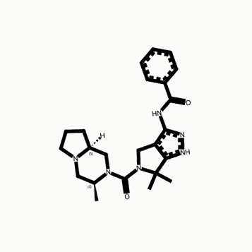 C[C@H]1CN2CCC[C@H]2CN1C(=O)N1Cc2c(NC(=O)c3ccccc3)n[nH]c2C1(C)C